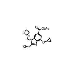 COC(=O)c1cc(OC2CC2)c2nc(CCl)n(C[C@@H]3CCO3)c2c1